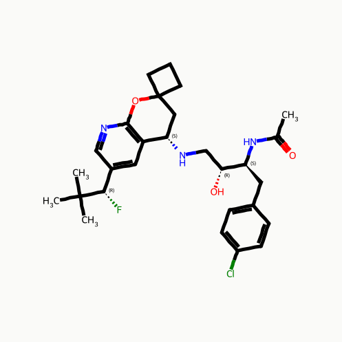 CC(=O)N[C@@H](Cc1ccc(Cl)cc1)[C@H](O)CN[C@H]1CC2(CCC2)Oc2ncc([C@H](F)C(C)(C)C)cc21